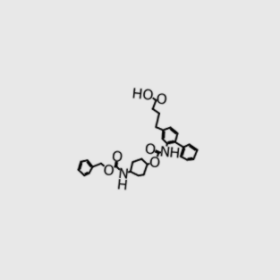 O=C(O)CCCc1ccc(-c2ccccc2)c(NC(=O)OC2CCC(NC(=O)OCc3ccccc3)CC2)c1